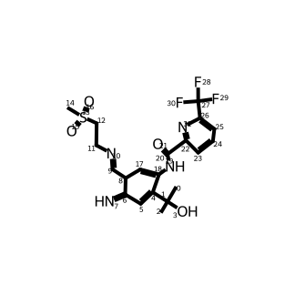 CC(C)(O)C1=CC(=N)C(/C=N/CCS(C)(=O)=O)C=C1NC(=O)c1cccc(C(F)(F)F)n1